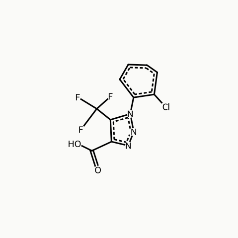 O=C(O)c1nnn(-c2ccccc2Cl)c1C(F)(F)F